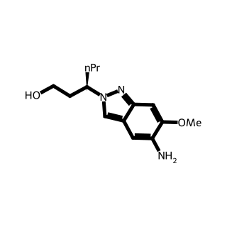 CCC[C@H](CCO)n1cc2cc(N)c(OC)cc2n1